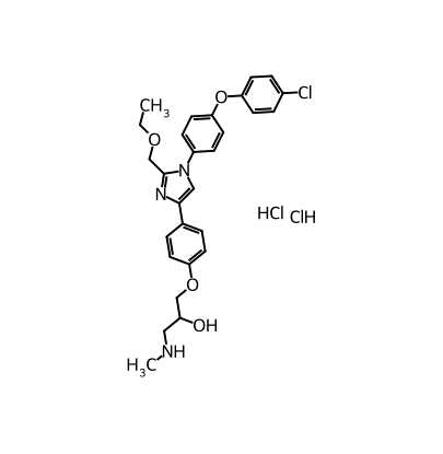 CCOCc1nc(-c2ccc(OCC(O)CNC)cc2)cn1-c1ccc(Oc2ccc(Cl)cc2)cc1.Cl.Cl